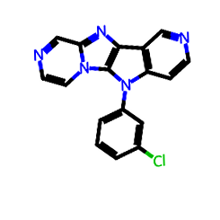 Clc1cccc(-n2c3ccncc3c3nc4cnccn4c32)c1